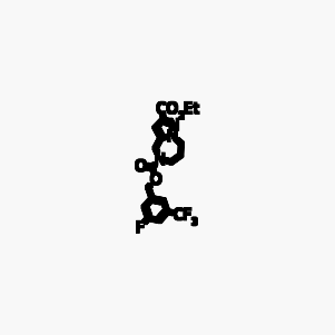 CCOC(=O)c1cc2n(n1)CCCN(C(=O)OCc1cc(F)cc(C(F)(F)F)c1)C2